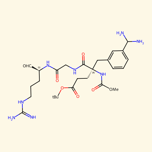 COC(=O)N[C@](CCC(=O)OC(C)(C)C)(Cc1cccc(C(N)N)c1)C(=O)NCC(=O)N[C@H](C=O)CCCNC(=N)N